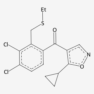 CCSCc1c(C(=O)c2cnoc2C2CC2)ccc(Cl)c1Cl